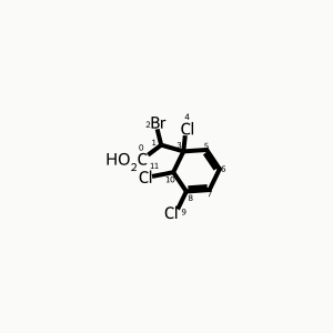 O=C(O)C(Br)C1(Cl)C=CC=C(Cl)C1Cl